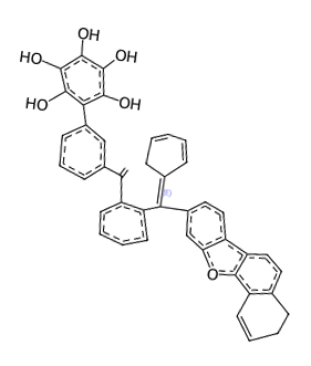 C=C(c1cccc(-c2c(O)c(O)c(O)c(O)c2O)c1)c1ccccc1/C(=C1/C=CC=CC1)c1ccc2c(c1)oc1c3c(ccc12)CCC=C3